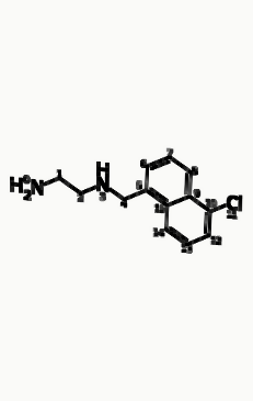 NCCNCc1cccc2c(Cl)cccc12